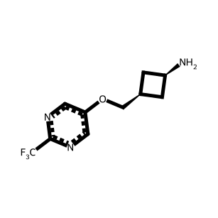 N[C@H]1C[C@@H](COc2cnc(C(F)(F)F)nc2)C1